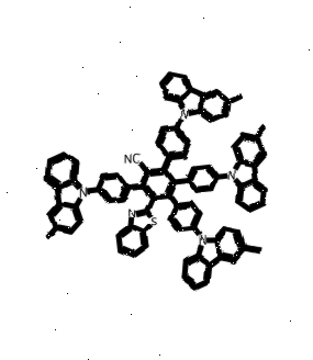 Cc1ccc2c(c1)c1ccccc1n2-c1ccc(-c2c(C#N)c(-c3ccc(-n4c5ccccc5c5cc(C)ccc54)cc3)c(-c3nc4ccccc4s3)c(-c3ccc(-n4c5ccccc5c5cc(C)ccc54)cc3)c2-c2ccc(-n3c4ccccc4c4cc(C)ccc43)cc2)cc1